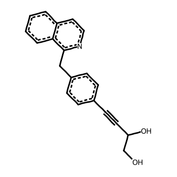 OCC(O)C#Cc1ccc(Cc2nccc3ccccc23)cc1